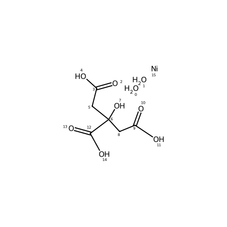 O.O.O=C(O)CC(O)(CC(=O)O)C(=O)O.[Ni]